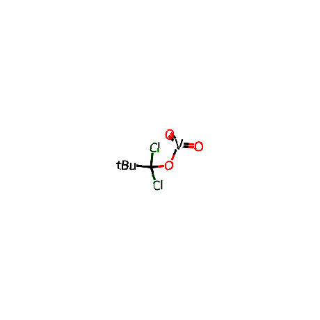 CC(C)(C)C(Cl)(Cl)[O][V](=[O])=[O]